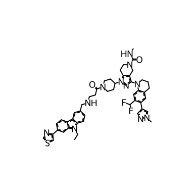 CCn1c2ccc(CNCCC(=O)N3CCC(n4nc(N5CCCc6cc(-c7cnn(C)c7)c(C(F)F)cc65)c5c4CCN(C(=O)NC)C5)CC3)cc2c2ccc(-c3cscn3)cc21